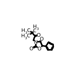 CC(C)(C)C(=O)CN1C(=O)OC(c2ccccc2)C1=O